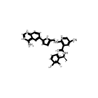 C[C@H](NC(=O)c1cc(C#N)cnc1NCc1ccc(-c2ccc3ncnc(N)c3c2)s1)c1cccc(F)c1F